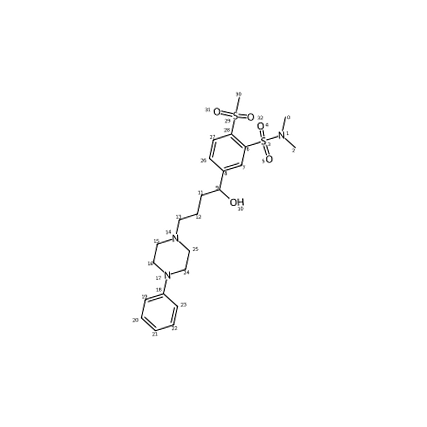 CN(C)S(=O)(=O)c1cc(C(O)CCCN2CCN(c3ccccc3)CC2)ccc1S(C)(=O)=O